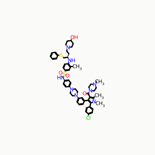 Cc1cc(S(=O)(=O)Nc2ccc(N3CCN(c4cccc(-c5c(C(=O)N6CCN(C)CC6)c(C)n(C)c5-c5ccc(Cl)cc5)c4)CC3)cc2)ccc1N[C@H](CCN1CCC(O)CC1)CSc1ccccc1